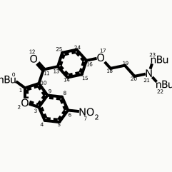 CCCCc1oc2ccc([N+](=O)[O-])cc2c1C(=O)c1ccc(OCCCN(CCCC)CCCC)cc1